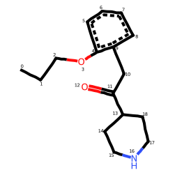 CCCOc1ccccc1CC(=O)C1CCNCC1